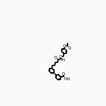 CC(=O)Oc1ccc(CONC(=O)CCCCc2cccc(-c3cccc(C(=O)O)c3)c2)cc1